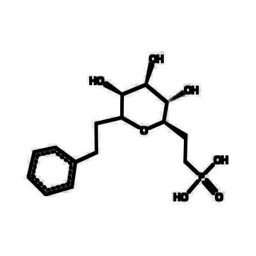 O=P(O)(O)CC[C@H]1OC(CCc2ccccc2)[C@@H](O)[C@@H](O)[C@@H]1O